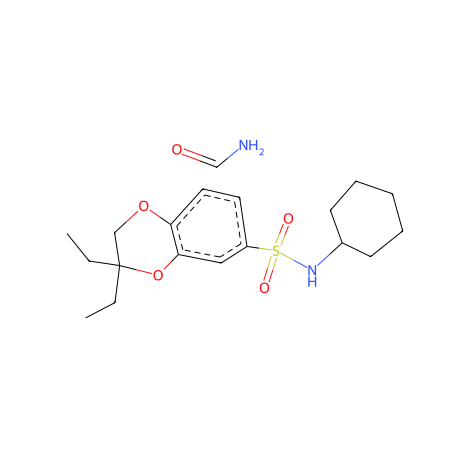 CCC1(CC)COc2ccc(S(=O)(=O)NC3CCCCC3)cc2O1.NC=O